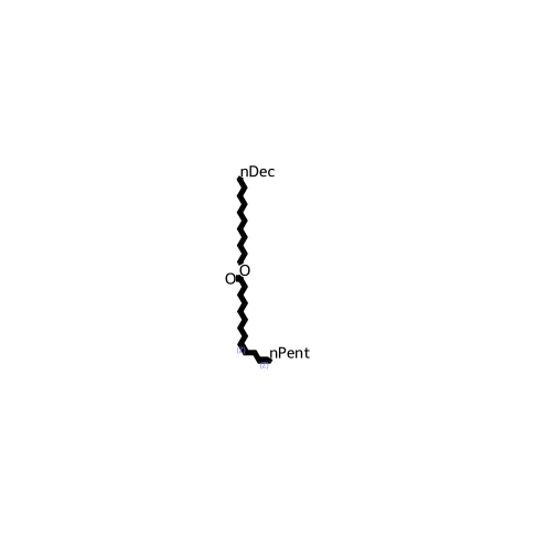 CCCCC/C=C\C/C=C\CCCCCCCC(=O)OCCCCCCCCCCCCCCCCCCCCC